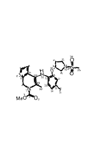 COC(=O)N1Cc2sccc2C(Nc2ccc(F)cc2O[C@@H]2CCN(S(C)(=O)=O)C2)=C1C